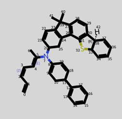 C=C/C=C\C=C(/C)N(C1=CCC(c2ccccc2)C=C1)C1C=CC2=C(C1)c1c(ccc3c1SC1C=CC=C[C@H]31)C2(C)C